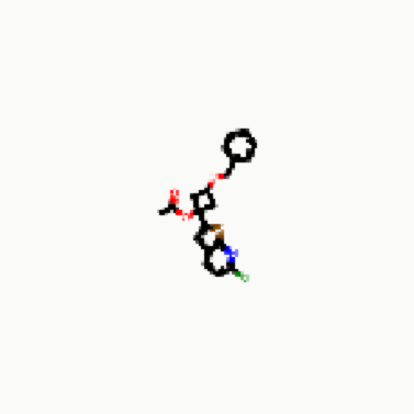 CC(=O)OC1(c2cc3ccc(Cl)nc3s2)CC(OCc2ccccc2)C1